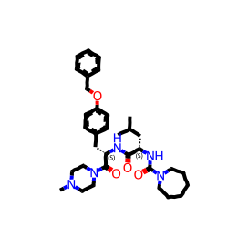 CC(C)C[C@H](NC(=O)N1CCCCCC1)C(=O)N[C@@H](Cc1ccc(OCc2ccccc2)cc1)C(=O)N1CCN(C)CC1